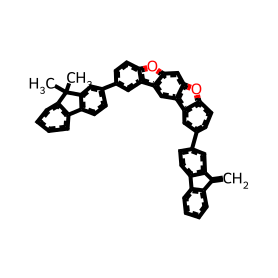 C=C1c2ccccc2-c2ccc(-c3ccc4oc5cc6oc7ccc(-c8ccc9c(c8)C(C)(C)c8ccccc8-9)cc7c6cc5c4c3)cc21